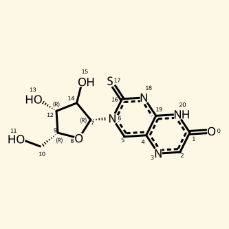 O=c1cnc2cn([C@@H]3O[C@H](CO)[C@H](O)C3O)c(=S)nc2[nH]1